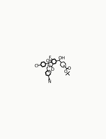 CC(C)(C)OC(=O)N1CCC(C(O)c2cc(F)c3c(c2)C(=O)N(Cc2ccc(C#N)cn2)C3(O)c2ccc(Cl)cc2)CC1